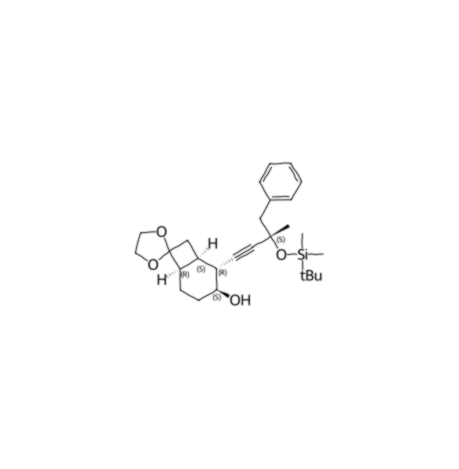 CC(C)(C)[Si](C)(C)O[C@](C)(C#C[C@H]1[C@@H]2CC3(OCCO3)[C@@H]2CC[C@@H]1O)Cc1ccccc1